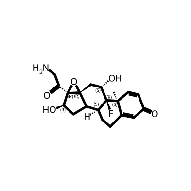 C[C@]12C=CC(=O)C=C1CC[C@H]1C3C[C@@H](O)[C@@]4(C(=O)CN)O[C@]34C[C@H](O)[C@@]12F